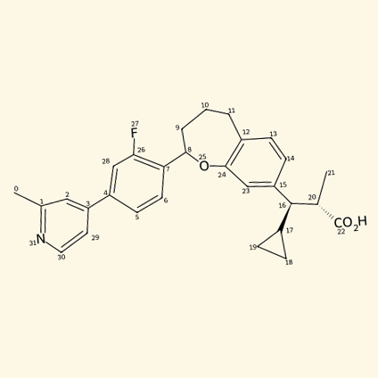 Cc1cc(-c2ccc(C3CCCc4ccc([C@H](C5CC5)[C@H](C)C(=O)O)cc4O3)c(F)c2)ccn1